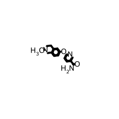 CN1CCc2cc(Oc3ccc(C(N)=O)cn3)ccc2C1